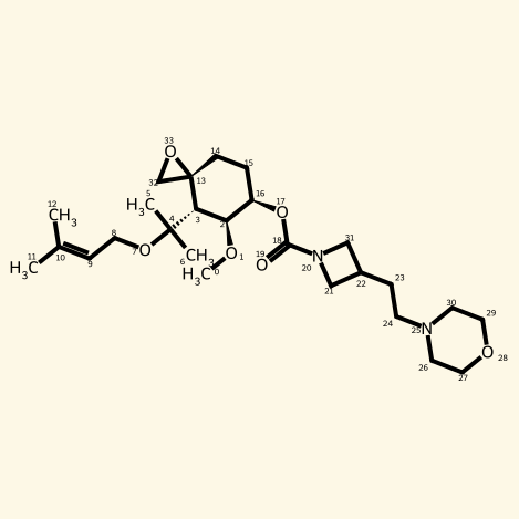 CO[C@H]1[C@H](C(C)(C)OCC=C(C)C)[C@]2(CC[C@H]1OC(=O)N1CC(CCN3CCOCC3)C1)CO2